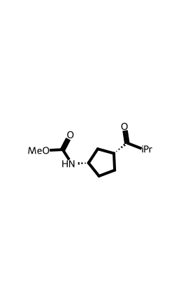 COC(=O)N[C@H]1CC[C@@H](C(=O)C(C)C)C1